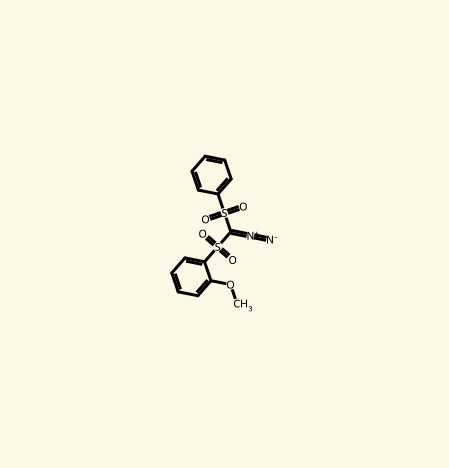 COc1ccccc1S(=O)(=O)C(=[N+]=[N-])S(=O)(=O)c1ccccc1